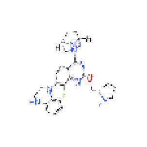 CN1CCC[C@H]1COc1nc(N2C[C@H]3CC[C@@H](C2)N3)c2ccc(N3CCNc4ccccc43)c(F)c2n1